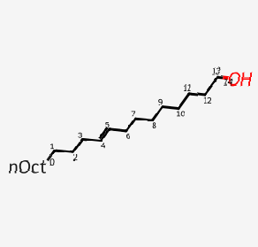 CCCCCCCCCCCC=CCCCCCCCCO